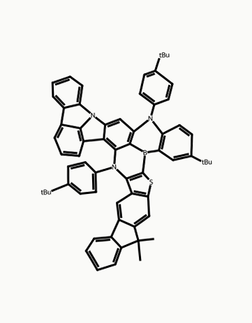 CC(C)(C)c1ccc(N2c3ccc(C(C)(C)C)cc3B3c4sc5cc6c(cc5c4N(c4ccc(C(C)(C)C)cc4)c4c3c2cc2c4c3cccc4c5ccccc5n2c43)-c2ccccc2C6(C)C)cc1